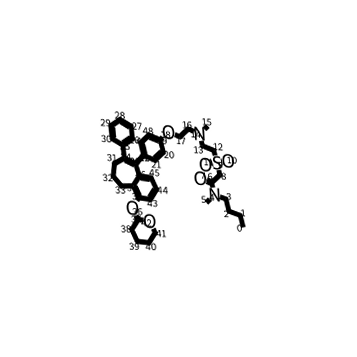 CCCCN(C)C(=O)CS(=O)(=O)CCN(C)CCOc1ccc(C2=C(c3ccccc3)CCCc3c(OC4CCCCO4)cccc32)cc1